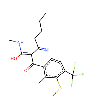 CCCCC(=N)/C(C(=O)c1ccc(C(F)(F)F)c(SC)c1C)=C(/O)NC